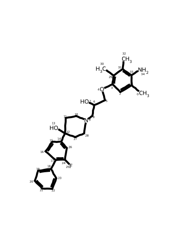 Cc1cc(OCC(O)CN2CCC(O)(c3ccc(-c4ccccc4)c(F)c3)CC2)c(C)c(C)c1N